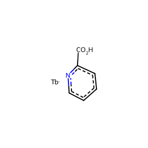 O=C(O)c1ccccn1.[Tb]